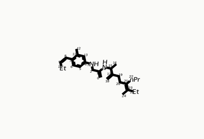 C=C(CNc1ccc(/C=C\CC)c(C)c1)NC(C)C(=C)CC/C(CCC)=C(\C)CC